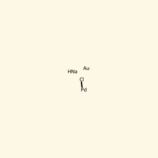 [Au].[Cl][Pd].[NaH]